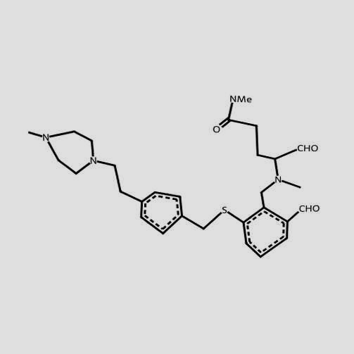 CNC(=O)CCC(C=O)N(C)Cc1c(C=O)cccc1SCc1ccc(CCN2CCN(C)CC2)cc1